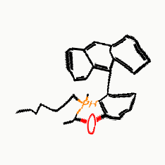 CCCCC[PH]1(C)c2c(cccc2-c2c3ccccc3cc3ccccc23)OC1C